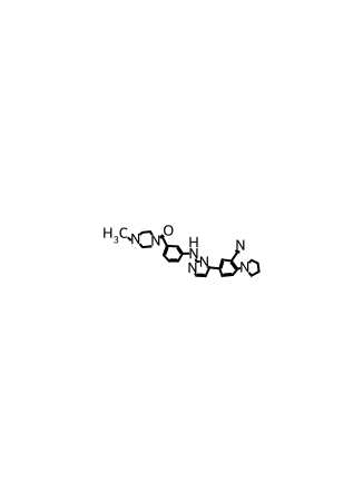 CCN1CCN(C(=O)c2cccc(Nc3nccc(-c4ccc(N5CCCC5)c(C#N)c4)n3)c2)CC1